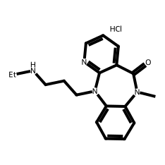 CCNCCCN1c2ccccc2N(C)C(=O)c2cccnc21.Cl